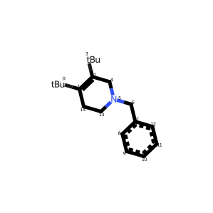 CC(C)(C)C1=C(C(C)(C)C)CN(Cc2ccccc2)CC1